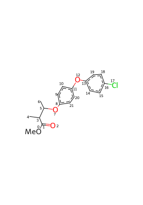 COC(=O)C(C)C(C)Oc1ccc(Oc2ccc(Cl)cc2)cc1